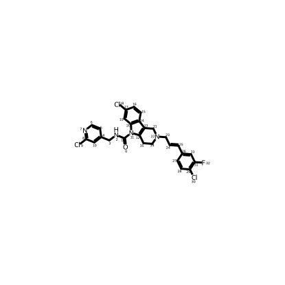 O=C(NCc1ccnc(Cl)c1)n1c2c(c3ccc(Cl)cc31)CN(CC=Cc1ccc(Cl)c(F)c1)CC2